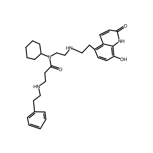 O=C(CCNCCc1ccccc1)N(CCNCCc1ccc(O)c2[nH]c(=O)ccc12)C1CCCCC1